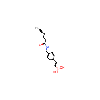 C#CCCCC(=O)NCc1ccc(/C=C/B(O)O)cc1